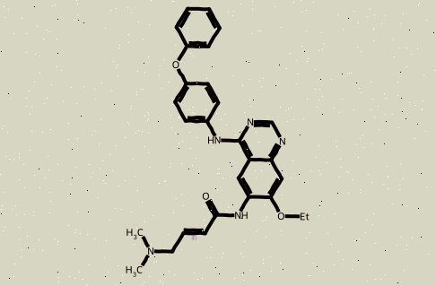 CCOc1cc2ncnc(Nc3ccc(Oc4ccccc4)cc3)c2cc1NC(=O)/C=C/CN(C)C